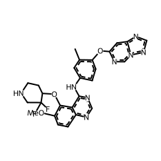 COc1ccc2ncnc(Nc3ccc(Oc4cc5ncnn5cn4)c(C)c3)c2c1OC1CCNCC1(F)F